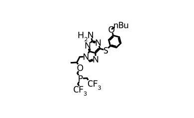 CCCCOc1cccc(Sc2nc(N)nc3c2ncn3CC(C)OCP(CC(F)(F)F)CC(F)(F)F)c1